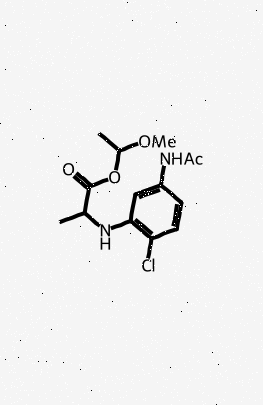 COC(C)OC(=O)C(C)Nc1cc(NC(C)=O)ccc1Cl